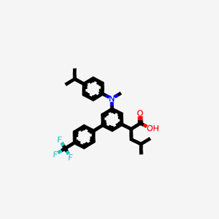 CC(C)CC(C(=O)O)c1cc(-c2ccc(C(F)(F)F)cc2)cc(N(C)c2ccc(C(C)C)cc2)c1